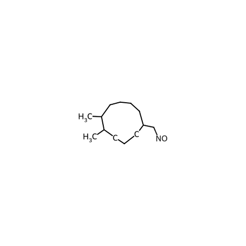 CC1CCCCC(CN=O)CCCC1C